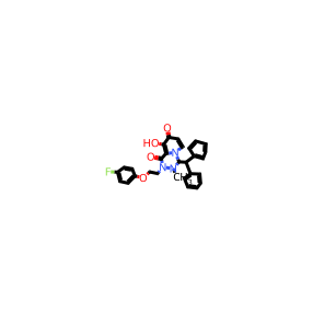 CN1C(C(c2ccccc2)c2ccccc2)n2ccc(=O)c(O)c2C(=O)N1CCOc1ccc(F)cc1